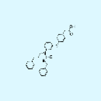 O=C(O)Cc1ccc(Sc2cccc(N(CCCc3ccccc3)C(=O)NCc3ccccc3)c2)cc1